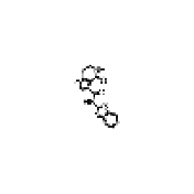 O=C(Nc1nc2ccccc2s1)c1coc2c1C(=O)NCC2